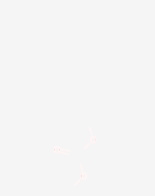 CCCCCC#COC(=O)OC